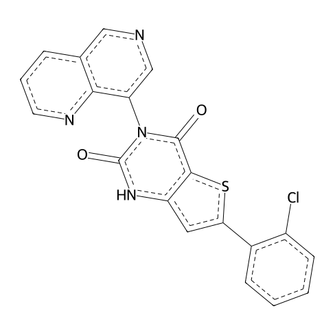 O=c1[nH]c2cc(-c3ccccc3Cl)sc2c(=O)n1-c1cncc2cccnc12